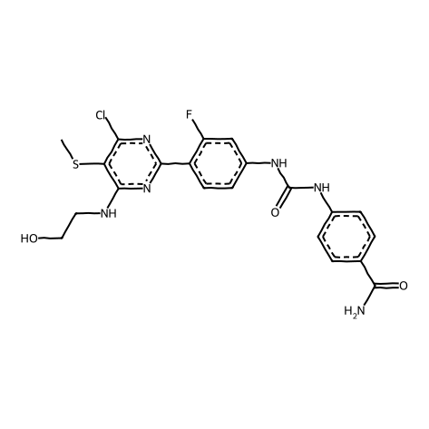 CSc1c(Cl)nc(-c2ccc(NC(=O)Nc3ccc(C(N)=O)cc3)cc2F)nc1NCCO